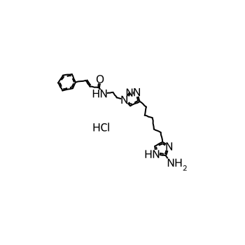 Cl.Nc1nc(CCCCCc2cn(CCNC(=O)C=Cc3ccccc3)nn2)c[nH]1